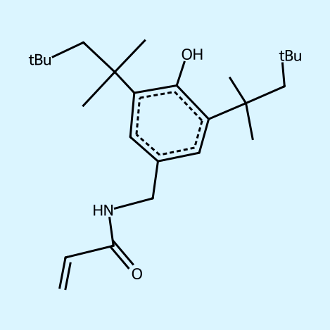 C=CC(=O)NCc1cc(C(C)(C)CC(C)(C)C)c(O)c(C(C)(C)CC(C)(C)C)c1